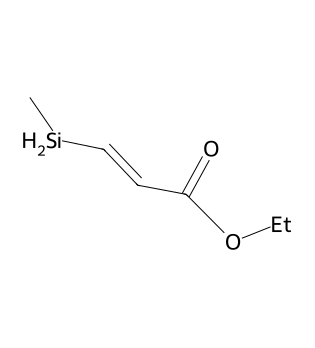 CCOC(=O)/C=C/[SiH2]C